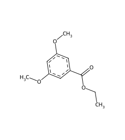 CCOC(=O)c1cc(OC)cc(OC)c1